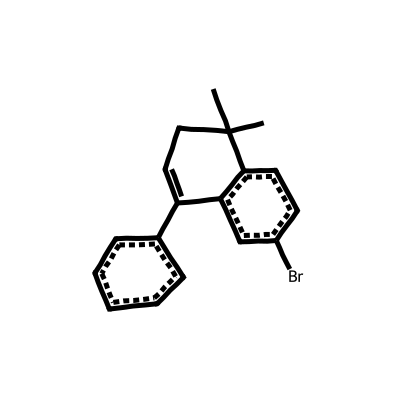 CC1(C)CC=C(c2ccccc2)c2cc(Br)ccc21